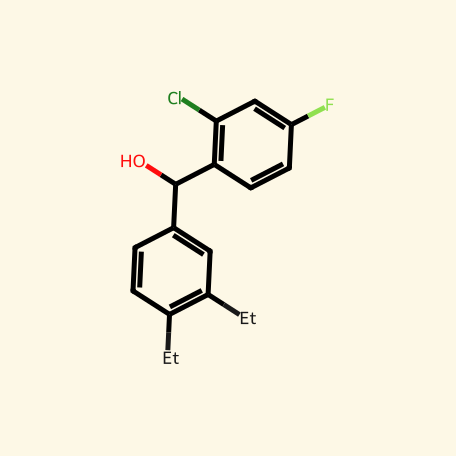 CCc1ccc(C(O)c2ccc(F)cc2Cl)cc1CC